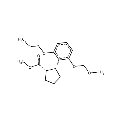 COCOc1cccc(OCOC)c1[C@@H]1CCC[C@@H]1C(=O)OC